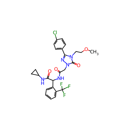 COCCn1c(-c2ccc(Cl)cc2)nn(CC(=O)NC(C(=O)NC2CC2)c2ccccc2C(F)(F)F)c1=O